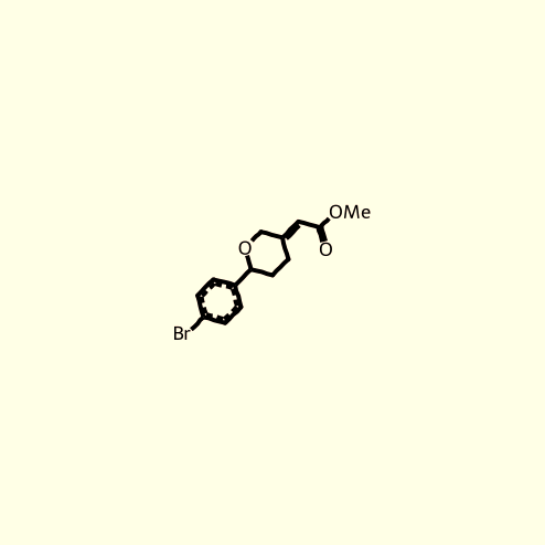 COC(=O)/C=C1\CCC(c2ccc(Br)cc2)OC1